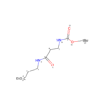 CCOC(=O)CCNC(=O)CCNC(=O)OC(C)(C)C